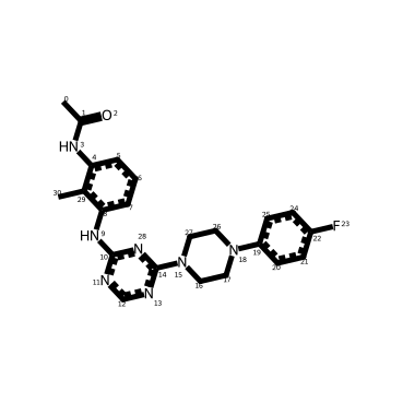 CC(=O)Nc1cccc(Nc2ncnc(N3CCN(c4ccc(F)cc4)CC3)n2)c1C